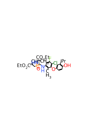 CCOC(=O)[C@H](C)CP(=O)(CNc1cc(F)c(Cl)c(Oc2ccc(O)c(C(C)C)c2)c1C)N[C@@H](C)C(=O)OCC